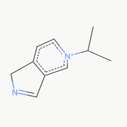 CC(C)[n+]1ccc2c(c1)C=NC2